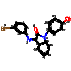 O=C1C(=Nc2cccc(Br)c2)c2ccccc2N1c1ccc(O)cc1